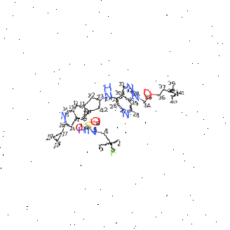 CC(C)(F)CNS(=O)(=O)c1c2c(cc3cnc(C4CC4)cc13)CC(Nc1cncc3c1cnn3COCC[Si](C)(C)C)C2